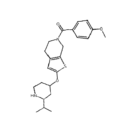 COc1ccc(C(=O)N2CCc3cc(OC4CCNC(C(C)C)C4)sc3C2)cc1